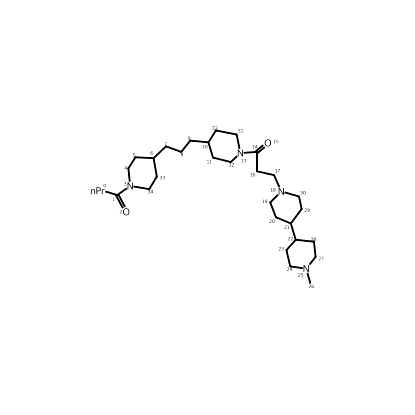 CCCC(=O)N1CCC(CCCC2CCN(C(=O)CCN3CCC(C4CCN(C)CC4)CC3)CC2)CC1